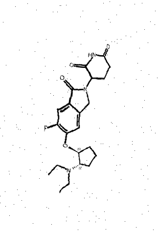 CCN(CC)[C@H]1CCC[C@@H]1Oc1cc2c(cc1F)C(=O)N(C1CCC(=O)NC1=O)C2